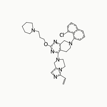 C=Cc1ncc2n1CCN(c1nc(OCCCN3CCCCC3)nc3c1CCN(c1cccc4cccc(Cl)c14)C3)C2